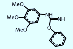 COc1cc(NC(=N)Oc2ccccc2)cc(OC)c1OC